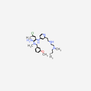 CCCN(C)CCNCCc1cc(NC(/C=C(\C)Cl)=C(/N)N(C)Cc2cccc(OC)c2)ccn1